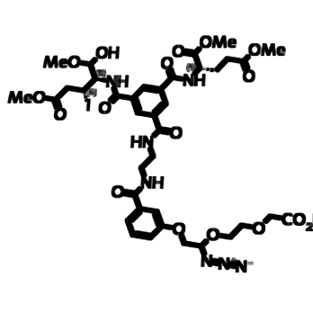 COC(=O)CC[C@H](NC(=O)c1cc(C(=O)NCCNC(=O)c2cccc(OCC(N=[N+]=[N-])OCCOCC(=O)O)c2)cc(C(=O)N[C@H](C(O)OC)[C@H](I)CC(=O)OC)c1)C(=O)OC